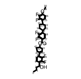 CCCC(O)c1ccc(C2=CCC(OC(=O)c3ccc(C4CCC(c5ccc(OCC)c(F)c5F)CC4)c(F)c3F)CC2)c(F)c1F